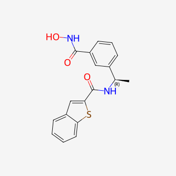 C[C@@H](NC(=O)c1cc2ccccc2s1)c1cccc(C(=O)NO)c1